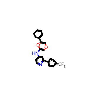 FC(F)(F)c1ccc(-c2cc(NC3=COC=C(C4=CC=CCC4)O3)ccn2)cc1